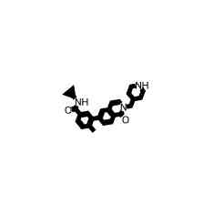 Cc1ccc(C(=O)NC2CC2)cc1-c1ccc2c(=O)n(CC3CCNCC3)ccc2c1